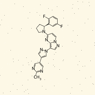 Cc1ncc(-c2cnn(-c3cnn4ccc(N5CCC[C@H]5c5cc(F)ccc5F)nc34)c2)cn1